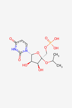 CC(C)O[C@]1(COP(=O)(O)O)O[C@@H](n2ccc(=O)[nH]c2=O)[C@H](O)[C@@H]1O